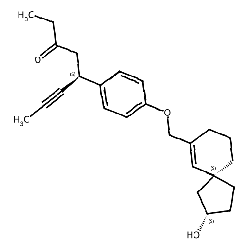 CC#C[C@@H](CC(=O)CC)c1ccc(OCC2=C[C@@]3(CCC2)CC[C@H](O)C3)cc1